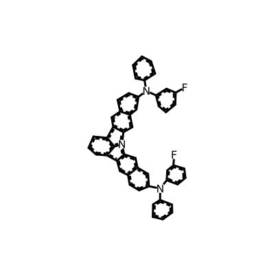 Fc1cccc(N(c2ccccc2)c2ccc3cc4c5cccc6c7cc8ccc(N(c9ccccc9)c9cccc(F)c9)cc8cc7n(c4cc3c2)c56)c1